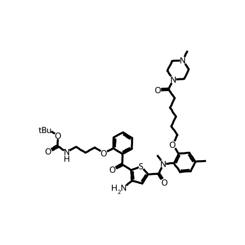 Cc1ccc(N(C)C(=O)c2cc(N)c(C(=O)c3ccccc3OCCCNC(=O)OC(C)(C)C)s2)c(OCCCCCC(=O)N2CCN(C)CC2)c1